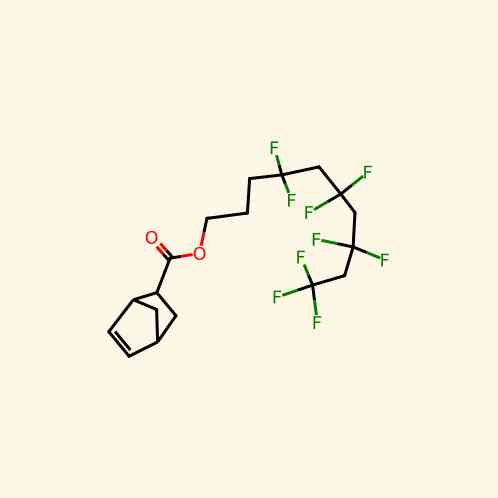 O=C(OCCCC(F)(F)CC(F)(F)CC(F)(F)CC(F)(F)F)C1CC2C=CC1C2